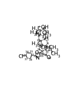 CC(C)C1=C2[C@H]3CC[C@@H]4[C@@]5(C)CC[C@H](O)C(C)(C)[C@@H]5CC[C@@]4(C)[C@]3(C)CC[C@@]2(c2cnc(-c3ccc(Cl)cc3)o2)CC1=O